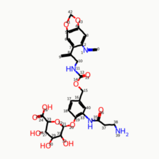 C=Nc1cc2c(cc1C(=C)CNC(=O)OCc1ccc(O[C@@H]3OC(C(=O)O)[C@@H](O)C(O)C3O)c(NC(=O)CCN)c1)OCO2